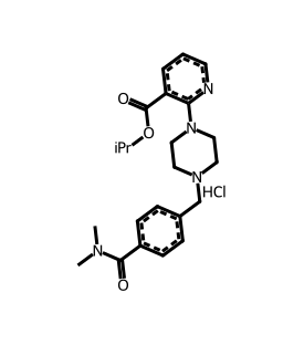 CC(C)OC(=O)c1cccnc1N1CCN(Cc2ccc(C(=O)N(C)C)cc2)CC1.Cl